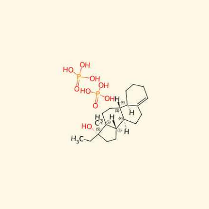 CC[C@]1(O)CC[C@H]2[C@@H]3CCC4=CCCC[C@@H]4[C@H]3CC[C@@]21C.O=P(O)(O)O.O=P(O)(O)O